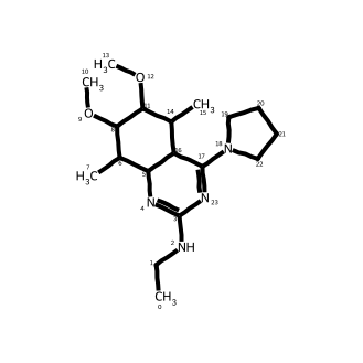 CCNC1=NC2C(C)C(OC)C(OC)C(C)C2C(N2CCCC2)=N1